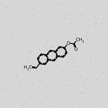 C=Cc1ccc2cc3cc(OC(C)=O)ccc3cc2c1